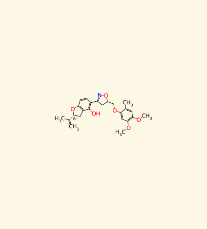 C=C(C)[C@H]1Cc2c(ccc(C3=NOC(COc4cc(OC)c(OC)cc4C)C3)c2O)O1